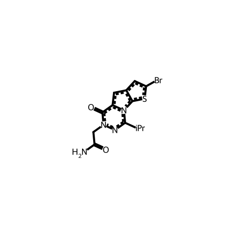 CC(C)c1nn(CC(N)=O)c(=O)c2cc3cc(Br)sc3n12